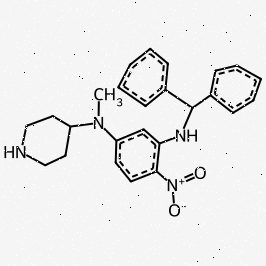 CN(c1ccc([N+](=O)[O-])c(NC(c2ccccc2)c2ccccc2)c1)C1CCNCC1